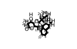 [2H]C([2H])([2H])[C@H]1C=C2C=C[C@H](C)[C@H](CCC3C[C@@H](O)C([2H])([2H])C(=O)O3)[C@H]2[C@@H](OC(=O)C(C)(C)C([2H])([2H])C([2H])([2H])[2H])C1